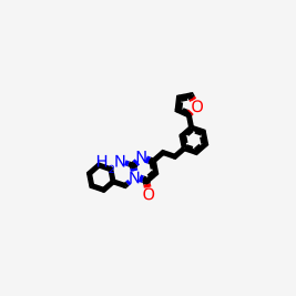 Nc1nc(CCc2cccc(-c3ccco3)c2)cc(=O)n1CC1CCCCC1